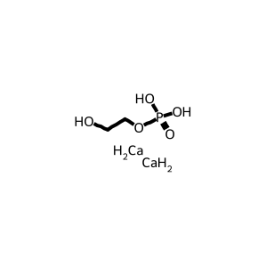 O=P(O)(O)OCCO.[CaH2].[CaH2]